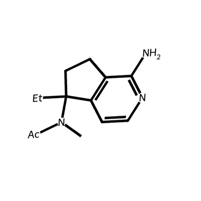 CCC1(N(C)C(C)=O)CCc2c1ccnc2N